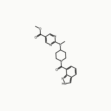 COC(=O)c1cnc(N(C)C2CCN(C(=O)c3cccc4c[nH]nc34)CC2)nc1